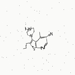 CC=Cc1sc2ncc(C#N)c(C)c2c1N1CCNCC1